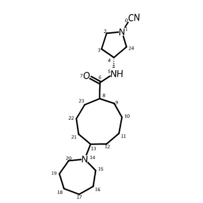 N#CN1CC[C@@H](NC(=O)C2CCCCC(N3CCCCCC3)CCC2)C1